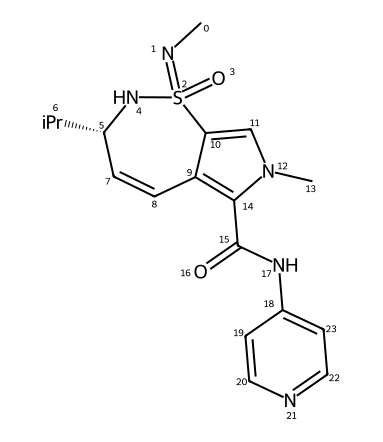 CN=S1(=O)N[C@@H](C(C)C)C=Cc2c1cn(C)c2C(=O)Nc1ccncc1